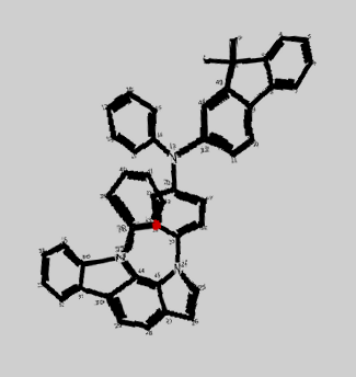 CC1(C)c2ccccc2-c2ccc(N(c3ccccc3)c3ccc(-n4ccc5ccc6c7ccccc7n(-c7ccccc7)c6c54)cc3)cc21